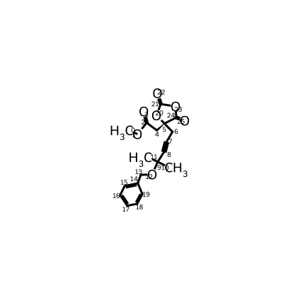 COC(=O)C[C@@]1(CC#CC(C)(C)OCc2ccccc2)OC(=O)OC1=O